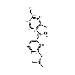 CN(C)Cc1cccc(B2OCc3cc(F)ccc32)c1